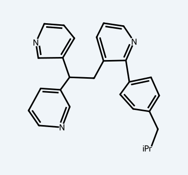 CC(C)Cc1ccc(-c2ncccc2CC(c2cccnc2)c2cccnc2)cc1